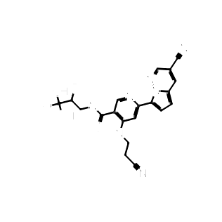 CC(C)(O)C(F)CNC(=O)c1cnc(-c2ccc3cc(C#N)cnn23)cc1NCCC#N